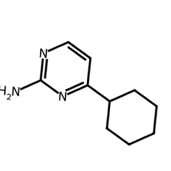 Nc1nccc(C2CCCCC2)n1